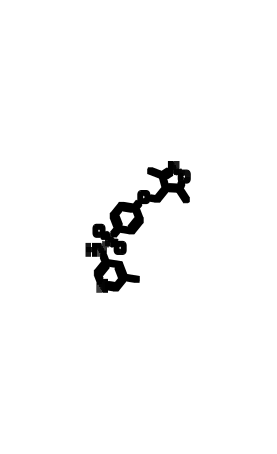 Cc1cncc(NS(=O)(=O)c2ccc(OCc3c(C)noc3C)cc2)c1